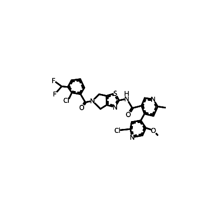 COc1cnc(Cl)cc1-c1cc(C)ncc1C(=O)Nc1nc2c(s1)CN(C(=O)c1cccc(C(F)F)c1Cl)C2